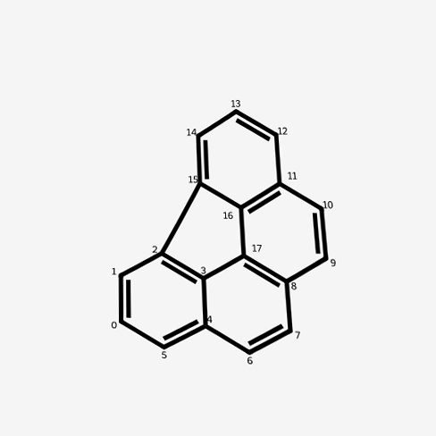 c1cc2c3c(c1)ccc1ccc4cccc-2c4c13